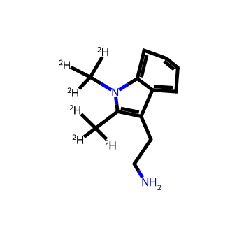 [2H]C([2H])([2H])c1c(CCN)c2ccccc2n1C([2H])([2H])[2H]